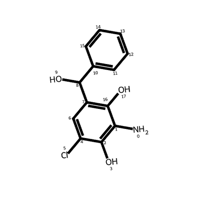 Nc1c(O)c(Cl)cc(C(O)c2ccccc2)c1O